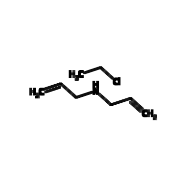 C=CCNCC=C.CCCl